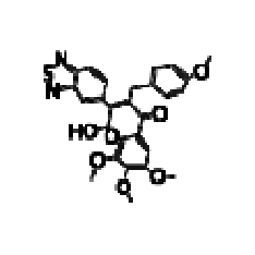 COc1ccc(CC(C(=O)c2cc(OC)c(OC)c(OC)c2)=C(C(=O)O)c2ccc3nsnc3c2)cc1